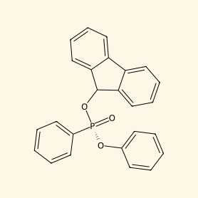 O=[P@](Oc1ccccc1)(OC1c2ccccc2-c2ccccc21)c1ccccc1